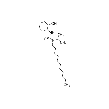 CCCCCCCCCCCN(C(=O)NC1CCCCC1O)C(C)C